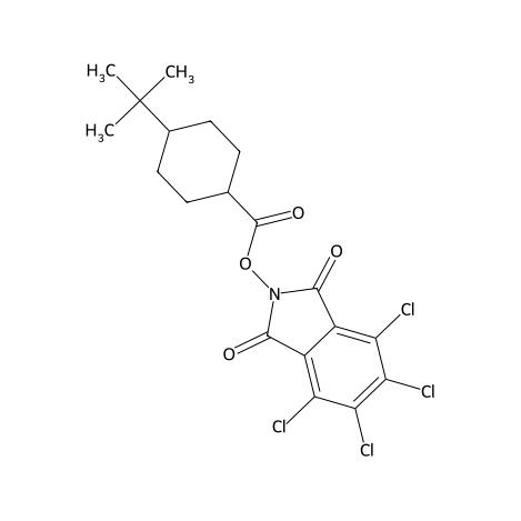 CC(C)(C)C1CCC(C(=O)ON2C(=O)c3c(Cl)c(Cl)c(Cl)c(Cl)c3C2=O)CC1